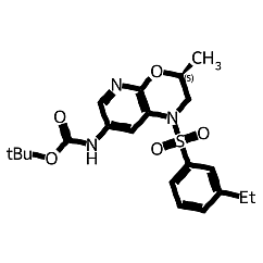 CCc1cccc(S(=O)(=O)N2C[C@H](C)Oc3ncc(NC(=O)OC(C)(C)C)cc32)c1